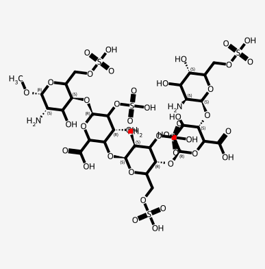 CO[C@@H]1OC(COS(=O)(=O)O)[C@@H](O[C@@H]2OC(C(=O)O)C(O[C@@H]3OC(COS(=O)(=O)O)[C@@H](O[C@@H]4OC(C(=O)O)[C@@H](O[C@@H]5OC(COS(=O)(=O)O)[C@@H](O)C(O)[C@@H]5N)C(O)[C@@H]4O)C(OS(=O)(=O)O)[C@@H]3N)[C@@H](O)C2OS(=O)(=O)O)C(O)[C@@H]1N